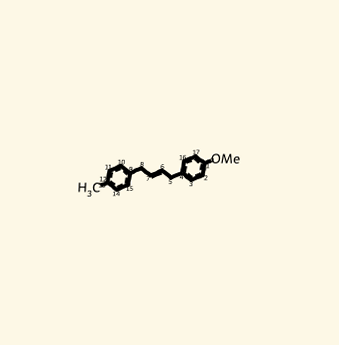 COc1ccc(CC=CCc2ccc(C)cc2)cc1